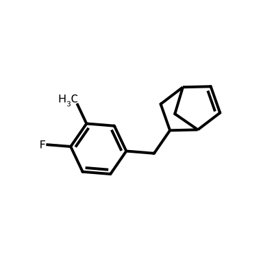 Cc1cc(CC2CC3C=CC2C3)ccc1F